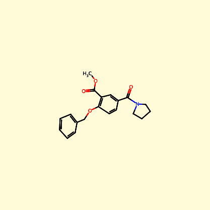 COC(=O)c1cc(C(=O)N2CCCC2)ccc1OCc1ccccc1